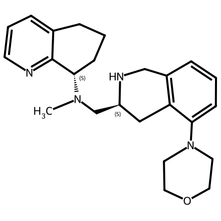 CN(C[C@@H]1Cc2c(cccc2N2CCOCC2)CN1)[C@H]1CCCc2cccnc21